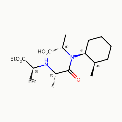 CCC[C@H](N[C@@H](C)C(=O)N([C@@H](C)C(=O)O)[C@H]1CCCC[C@H]1C)C(=O)OCC